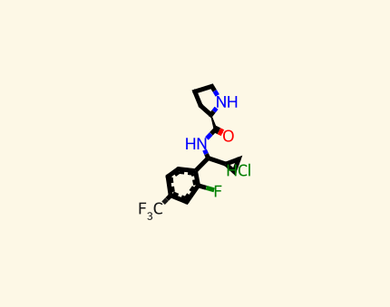 Cl.O=C(NC(c1ccc(C(F)(F)F)cc1F)C1CC1)[C@H]1CCCN1